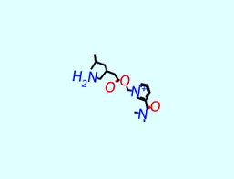 CC(C)C[C@H](CN)CC(=O)OC[n+]1cccc(C(=O)N(C)C)c1